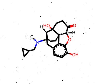 CN(CC1CC1)C1CC[C@]23c4c5ccc(O)c4O[C@H]2C(=O)CCC3(O)[C@H]1C5